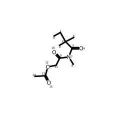 CCC(C)(C)C(=O)N(C)C(=O)COC(C)=O